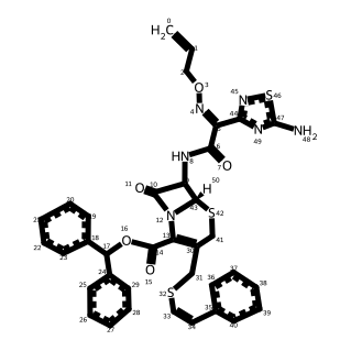 C=CCON=C(C(=O)NC1C(=O)N2C(C(=O)OC(c3ccccc3)c3ccccc3)=C(CS/C=C\c3ccccc3)CS[C@@H]12)c1nsc(N)n1